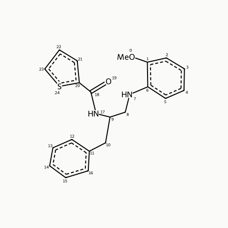 COc1ccccc1NCC(Cc1ccccc1)NC(=O)c1cccs1